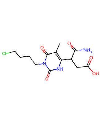 Cc1c(C(CC(=O)O)C(N)=O)[nH]c(=O)n(CCCCCl)c1=O